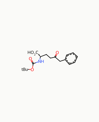 CC(C)(C)OC(=O)N[C@H](CCC(=O)Cc1ccccc1)C(=O)O